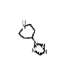 c1nnn(C2CCNCC2)n1